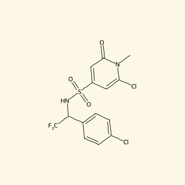 Cn1c(Cl)cc(S(=O)(=O)NC(c2ccc(Cl)cc2)C(F)(F)F)cc1=O